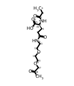 CCC(=O)N[C@@H](CCC(=O)NCCOCCOCC(C)=O)C(=O)O